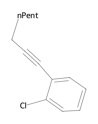 CCCCCCC#Cc1ccccc1Cl